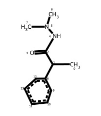 CC(C(=O)NN(C)C)c1ccccc1